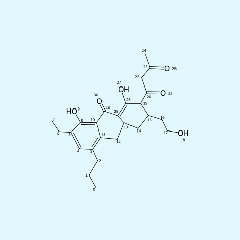 CCCc1cc(CC)c(O)c2c1CC1CC(CCO)C(C(=O)CC(C)=O)C(O)=C1C2=O